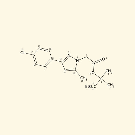 CCOC(=O)C(C)(C)OC(=O)Cn1nc(-c2ccc(Cl)cc2)cc1C